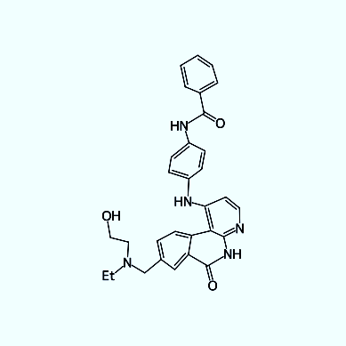 CCN(CCO)Cc1ccc2c(c1)c(=O)[nH]c1nccc(Nc3ccc(NC(=O)c4ccccc4)cc3)c12